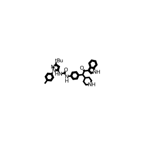 Cc1ccc(-n2nc(C(C)(C)C)cc2NC(=O)Nc2ccc(C(C(=O)c3c[nH]c4ccccc34)C3CCNCC3)cc2)cc1